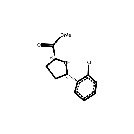 COC(=O)[C@@H]1CC[C@@H](c2ccccc2Cl)N1